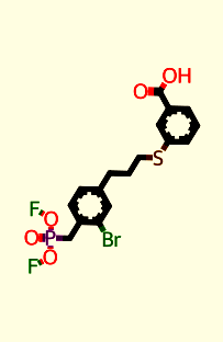 O=C(O)c1cccc(SCCCc2ccc(CP(=O)(OF)OF)c(Br)c2)c1